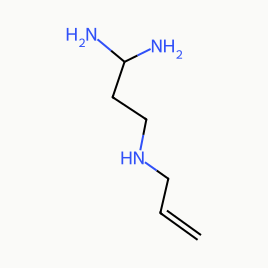 C=CCNCCC(N)N